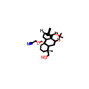 C=C1[C@H]2CCC34C(C2)[C@]2(COCC#N)CCC[C@@](C)(CO)C2C[C@H]3OC(C)(C)O[C@@H]14